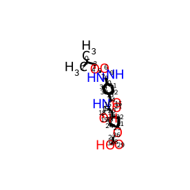 CC(C)COC(=O)NC(=N)c1ccc(C(=O)N[C@@H](CO)C(=O)c2ccc(OCC(=O)O)cc2)cc1